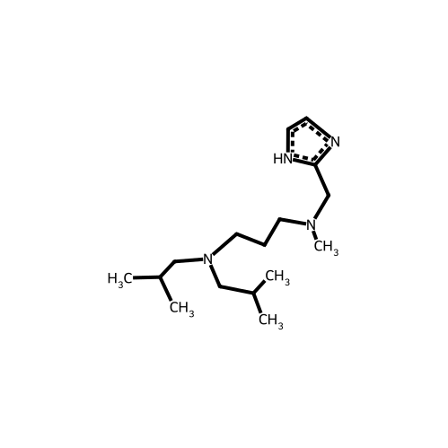 CC(C)CN(CCCN(C)Cc1ncc[nH]1)CC(C)C